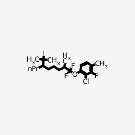 CCCC(CCCC(C)C(F)(F)Oc1ccc(C)c(F)c1Cl)C(C)(C)I